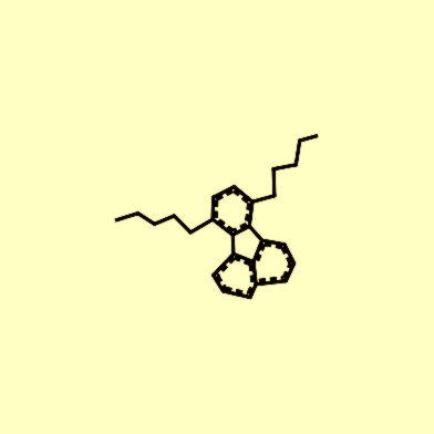 CCCCCc1ccc(CCCCC)c2c1-c1cccc3cccc-2c13